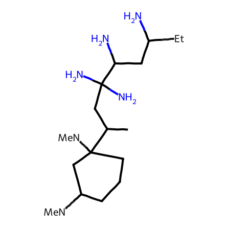 CCC(N)CC(N)C(N)(N)CC(C)C1(NC)CCCC(NC)C1